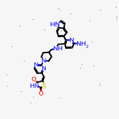 Nc1ccc(CNCC2CCN(c3nccc(C=C4SC(=O)NC4=O)n3)CC2)c(-c2ccc3[nH]ccc3c2)n1